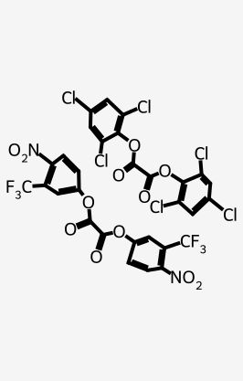 O=C(Oc1c(Cl)cc(Cl)cc1Cl)C(=O)Oc1c(Cl)cc(Cl)cc1Cl.O=C(Oc1ccc([N+](=O)[O-])c(C(F)(F)F)c1)C(=O)Oc1ccc([N+](=O)[O-])c(C(F)(F)F)c1